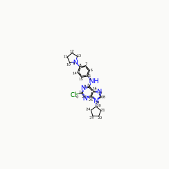 Clc1nc(Nc2ccc(N3CCCC3)cc2)c2ncn(C3CCCC3)c2n1